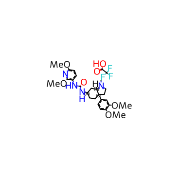 COc1ccc(NC(=O)N[C@@H]2CC[C@@]3(c4ccc(OC)c(OC)c4)CCN(C)[C@H]3C2)c(OC)n1.O=C(O)C(F)(F)F